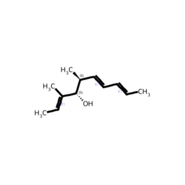 C/C=C/C=C/[C@H](C)[C@H](O)/C(C)=C/C